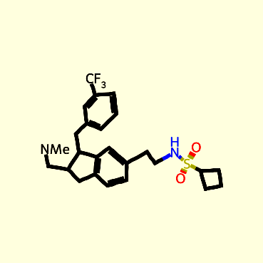 CNCC1Cc2ccc(CCNS(=O)(=O)C3CCC3)cc2C1Cc1cccc(C(F)(F)F)c1